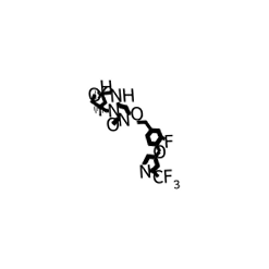 C[C@]12CO[C@H](CNc3cc(OCCc4ccc(Oc5ccnc(C(F)(F)F)c5)c(F)c4)nc(=O)n3C1)C2